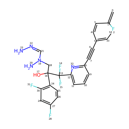 C=C(F)/C=C\C(C#Cc1cccc(C(F)(F)C(O)(CN(N)/C=N\N)c2ccc(F)cc2F)n1)=C/C